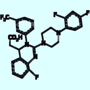 O=C(O)CC1c2cccc(F)c2N=C(N2CCN(c3ccc(F)cc3F)CC2)N1c1cccc(C(F)(F)F)c1